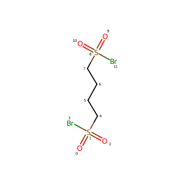 O=S(=O)(Br)CCCCS(=O)(=O)Br